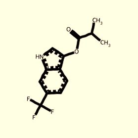 CC(C)C(=O)Oc1c[nH]c2cc(C(F)(F)F)ccc12